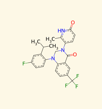 Cc1[nH]c(=O)ccc1N1CN(c2ccc(F)cc2C(C)C)c2ccc(C(F)(F)F)cc2C1=O